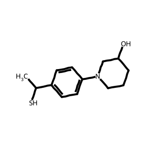 CC(S)c1ccc(N2CCCC(O)C2)cc1